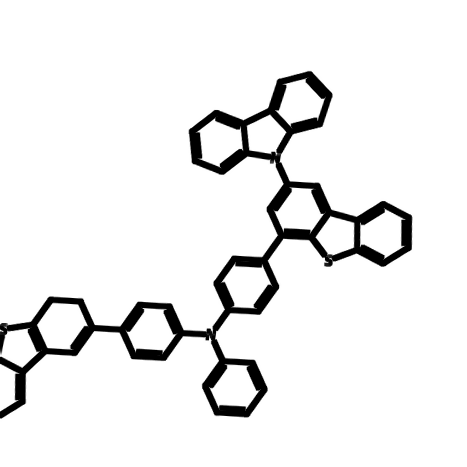 C1=C(c2ccc(N(c3ccccc3)c3ccc(-c4cc(-n5c6ccccc6c6ccccc65)cc5c4sc4ccccc45)cc3)cc2)CCc2sc3ccccc3c21